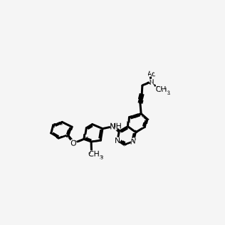 CC(=O)N(C)CC#Cc1ccc2ncnc(Nc3ccc(Oc4ccccc4)c(C)c3)c2c1